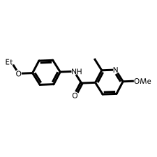 CCOc1ccc(NC(=O)c2ccc(OC)nc2C)cc1